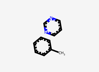 Cc1ccccc1.c1cncnc1